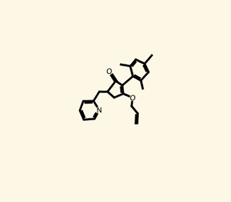 C=CCOC1=C(c2c(C)cc(C)cc2C)C(=O)C(Cc2ccccn2)C1